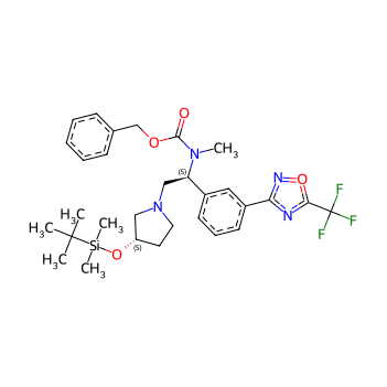 CN(C(=O)OCc1ccccc1)[C@H](CN1CC[C@H](O[Si](C)(C)C(C)(C)C)C1)c1cccc(-c2noc(C(F)(F)F)n2)c1